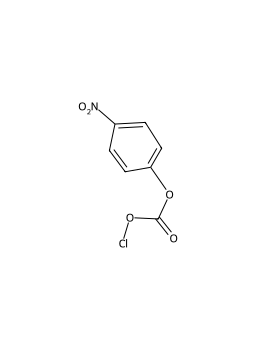 O=C(OCl)Oc1ccc([N+](=O)[O-])cc1